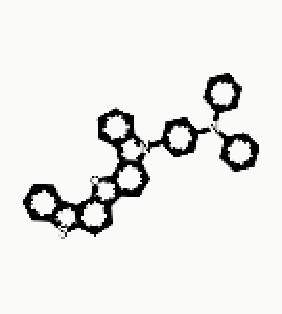 c1ccc(N(c2ccccc2)c2ccc(-n3c4ccccc4c4c5oc6c(ccc7sc8ccccc8c76)c5ccc43)cc2)cc1